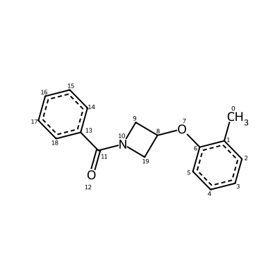 Cc1ccccc1OC1CN(C(=O)c2ccccc2)C1